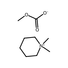 COC(=O)[O-].C[N+]1(C)CCCCC1